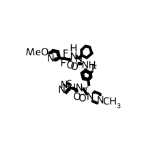 COc1ccc(C(F)(F)C(=O)NN(C(=O)Nc2ccc(C[C@@H](NC(=O)c3cnns3)C(=O)N3CCN(C)CC3)cc2F)C2CCCCC2)cn1